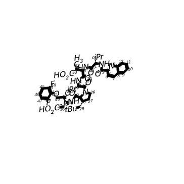 CC(C)[C@H](NC(=O)c1ccc2ccccc2n1)C(=O)N[C@H](C(=O)N[C@H](C(=O)N1CC[C@H](CC(C)(C)C)C1C(=O)NN(CC(=O)O)C(=O)COc1c(F)cccc1F)C(C)C)[C@@H](C)C(=O)O